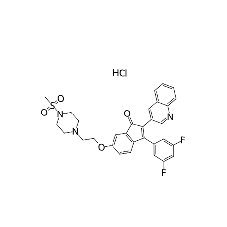 CS(=O)(=O)N1CCN(CCOc2ccc3c(c2)C(=O)C(c2cnc4ccccc4c2)=C3c2cc(F)cc(F)c2)CC1.Cl